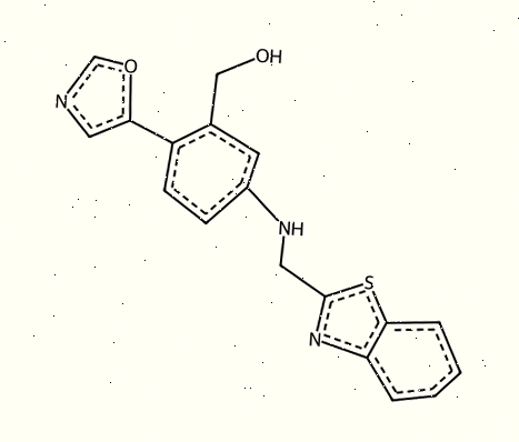 OCc1cc(NCc2nc3ccccc3s2)ccc1-c1cnco1